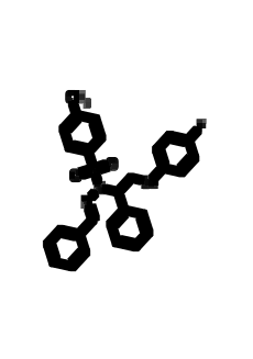 Cc1ccc(S(=O)(=O)N(N=Cc2ccccc2)C(C[Se]c2ccc(F)cc2)c2ccccc2)cc1